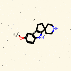 COc1ccc2[nH]c3c(c2c1)CCC31CCNCC1